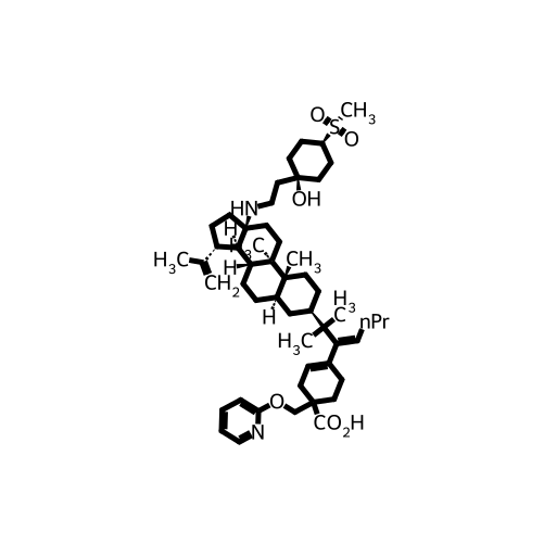 C=C(C)[C@@H]1CC[C@]2(NCC[C@]3(O)CC[C@@H](S(C)(=O)=O)CC3)CC[C@]3(C)[C@H](CC[C@@H]4C[C@H](C(C)(C)/C(=C\CCC)C5=CCC(COc6ccccn6)(C(=O)O)CC5)CC[C@]43C)[C@@H]12